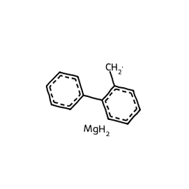 [CH2]c1ccccc1-c1ccccc1.[MgH2]